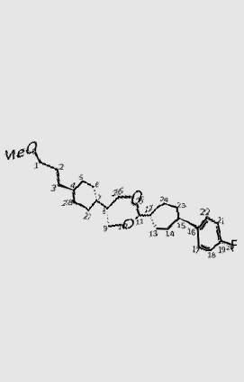 COCCC[C@H]1CC[C@H]([C@H]2CO[C@H]([C@H]3CC[C@H](c4ccc(F)cc4)CC3)OC2)CC1